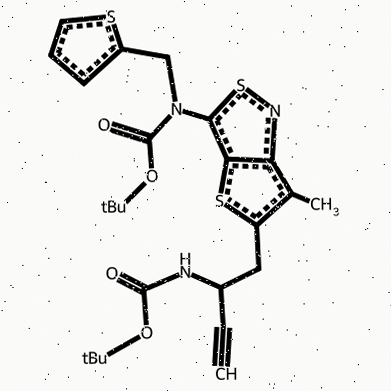 C#CC(Cc1sc2c(N(Cc3cccs3)C(=O)OC(C)(C)C)snc2c1C)NC(=O)OC(C)(C)C